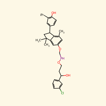 Cc1cc(OCPOCCC(O)c2cccc(Cl)c2)cc2c1C(c1ccc(O)c(C(C)C)c1)CC2(C)C